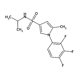 Cc1cc(S(=O)(=O)NC(C)C)cn1-c1ccc(F)c(F)c1F